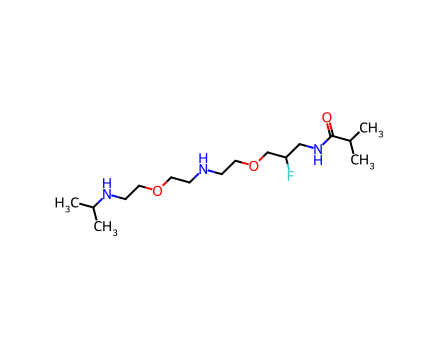 CC(C)NCCOCCNCCOCC(F)CNC(=O)C(C)C